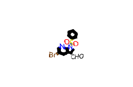 O=Cc1cn(S(=O)(=O)c2ccccc2)c2ncc(Br)cc12